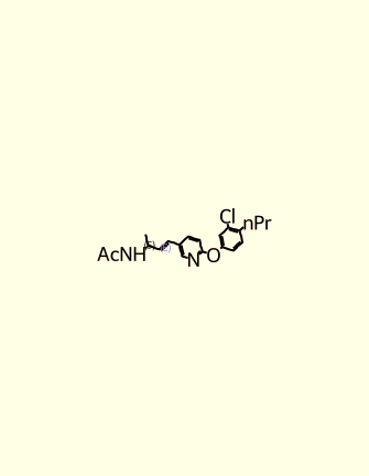 CCCc1ccc(Oc2ccc(/C=C/[C@H](C)NC(C)=O)cn2)cc1Cl